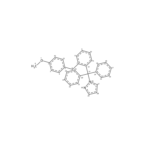 COc1ccc(Cc2ccccc2C(c2ccccc2)(c2ccccc2)n2cccn2)cc1